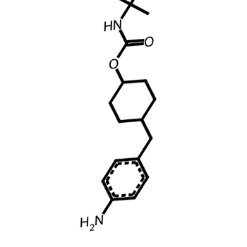 CC(C)(C)NC(=O)OC1CCC(Cc2ccc(N)cc2)CC1